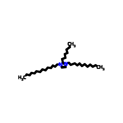 CCCCCCCCCCCCCC[n+]1ccn(CCCCCCCCCCCC)c1CCCCCCC